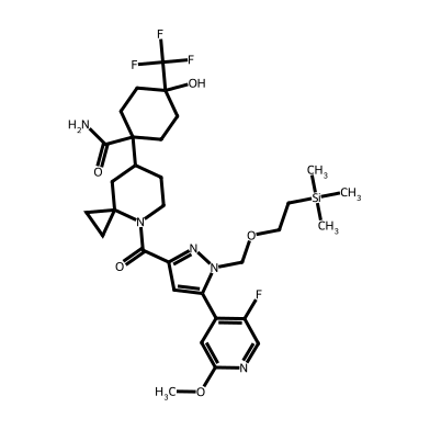 COc1cc(-c2cc(C(=O)N3CCC(C4(C(N)=O)CCC(O)(C(F)(F)F)CC4)CC34CC4)nn2COCC[Si](C)(C)C)c(F)cn1